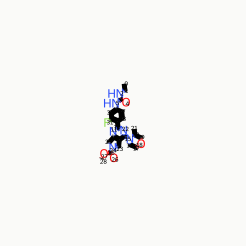 CCNC(=O)Nc1ccc(-c2nc3c(c(N4CCOCC4C)n2)CN(C(=O)OC)C3)c(F)c1